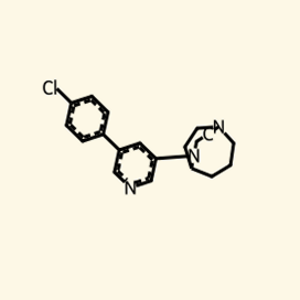 Clc1ccc(-c2cncc(N3CCN4CCCC3CC4)c2)cc1